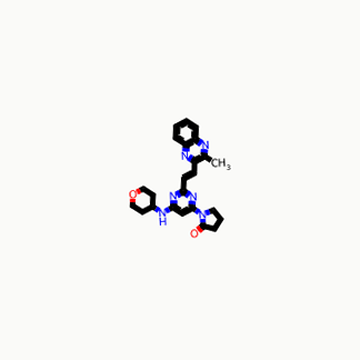 Cc1nc2ccccc2nc1C=Cc1nc(NC2CCOCC2)cc(N2CCCC2=O)n1